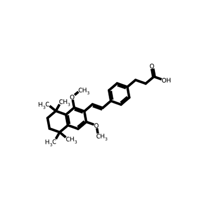 COc1cc2c(c(OC)c1/C=C/c1ccc(CCC(=O)O)cc1)C(C)(C)CCC2(C)C